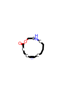 O=C1CCC/C=C\CCCCCNCCO1